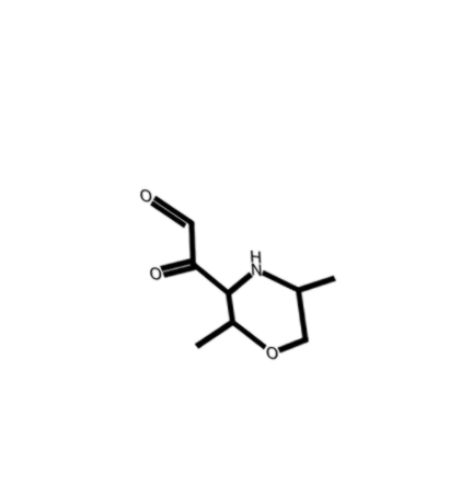 CC1COC(C)C(C(=O)C=O)N1